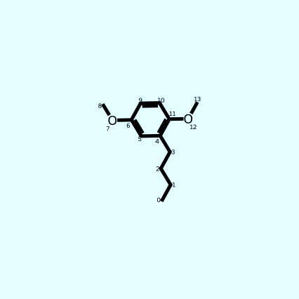 CCCCc1cc(OC)ccc1OC